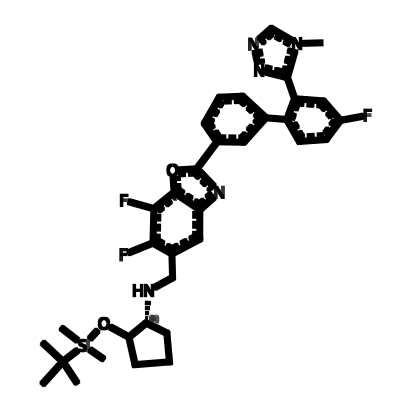 Cn1cnnc1-c1cc(F)ccc1-c1cccc(-c2nc3cc(CN[C@@H]4CCCC4O[Si](C)(C)C(C)(C)C)c(F)c(F)c3o2)c1